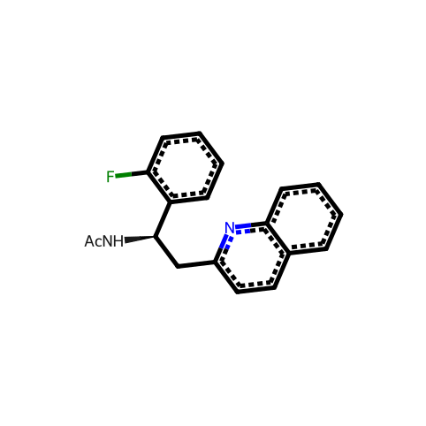 CC(=O)N[C@H](Cc1ccc2ccccc2n1)c1ccccc1F